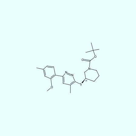 COc1cc(C)ccc1-c1cc(C)c(S[C@@H]2CCCN(C(=O)OC(C)(C)C)C2)nn1